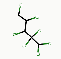 ClCC(Cl)C(Cl)C(Cl)(Cl)C(Cl)Cl